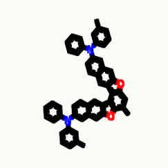 Cc1cccc(N(c2ccccc2)c2ccc3cc4c(cc3c2)oc2cc(C)c3oc5cc6cc(N(c7ccccc7)c7cccc(C)c7)ccc6cc5c3c24)c1